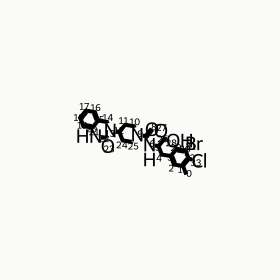 Cc1cc(CC(NC(=O)N2CCC(N3Cc4ccccc4NC3=O)CC2)C(=O)O)cc(Br)c1Cl